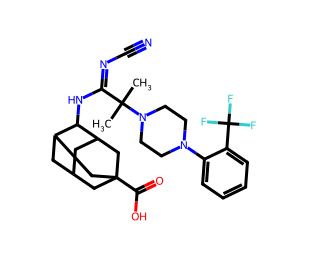 CC(C)(/C(=N\C#N)NC1C2CC3CC1CC(C(=O)O)(C3)C2)N1CCN(c2ccccc2C(F)(F)F)CC1